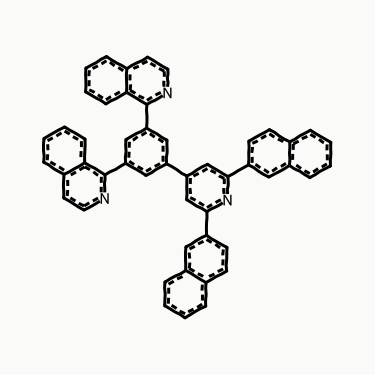 c1ccc2cc(-c3cc(-c4cc(-c5nccc6ccccc56)cc(-c5nccc6ccccc56)c4)cc(-c4ccc5ccccc5c4)n3)ccc2c1